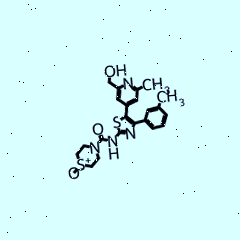 Cc1cccc(-c2nc(NC(=O)N3CC[S+]([O-])CC3)sc2-c2cc(C)nc(CO)c2)c1